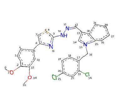 COc1ccc(-c2csc(N/N=C\c3cn(Cc4ccc(Cl)cc4Cl)c4ccccc34)n2)cc1OC